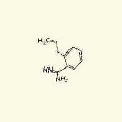 C=CCc1ccccc1C(=N)N